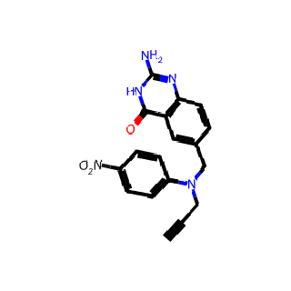 C#CCN(Cc1ccc2nc(N)[nH]c(=O)c2c1)c1ccc([N+](=O)[O-])cc1